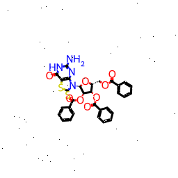 Nc1nc2c(sc(=S)n2[C@@H]2O[C@H](COC(=O)c3ccccc3)[C@@H](OC(=O)c3ccccc3)[C@H]2OC(=O)c2ccccc2)c(=O)[nH]1